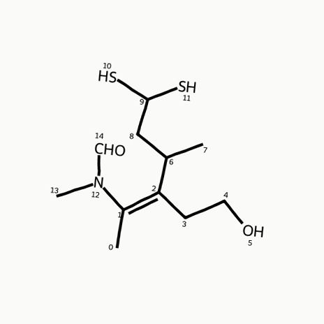 CC(=C(CCO)C(C)CC(S)S)N(C)C=O